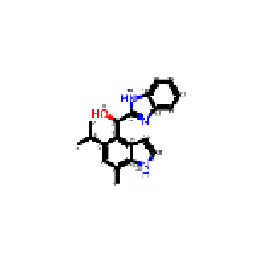 Cc1cc(C(C)C)c(C(O)c2nc3ccccc3[nH]2)c2cc[nH]c12